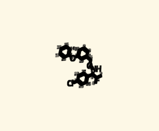 CC(C)C(NOCc1cccc(Oc2ccccc2)c1)c1ccc(Cl)cc1